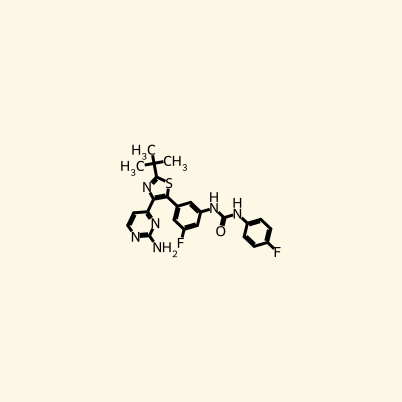 CC(C)(C)c1nc(-c2ccnc(N)n2)c(-c2cc(F)cc(NC(=O)Nc3ccc(F)cc3)c2)s1